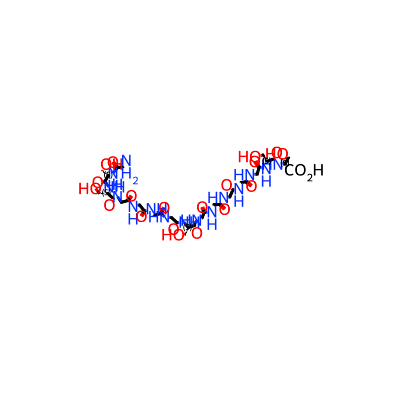 NCC(=O)N[C@@H](CO)C(=O)N[C@@H](CO)C(=O)NCC(=O)NCC(=O)NCC(=O)NCC(=O)N[C@@H](CO)C(=O)NCC(=O)NCC(=O)NCC(=O)NCC(=O)NCC(=O)N[C@@H](CO)C(=O)N[C@@H](CO)C(=O)O